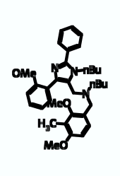 CCCCN(Cc1ccc(OC)c(C)c1OC)Cc1c(-c2ccccc2OC)nc(-c2ccccc2)n1CCCC